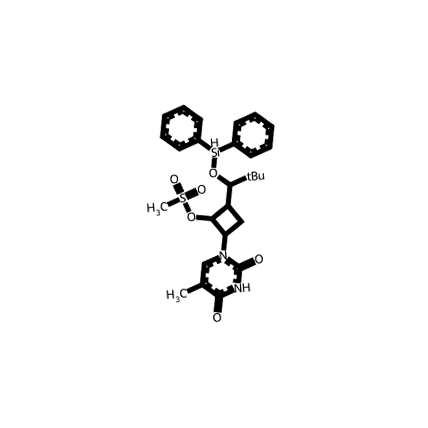 Cc1cn(C2CC(C(O[SiH](c3ccccc3)c3ccccc3)C(C)(C)C)C2OS(C)(=O)=O)c(=O)[nH]c1=O